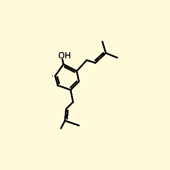 CC(C)=CCc1c[c]c(O)c(CC=C(C)C)c1